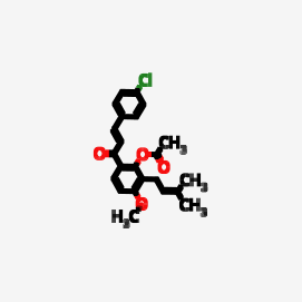 COc1ccc(C(=O)C=Cc2ccc(Cl)cc2)c(OC(C)=O)c1CC=C(C)C